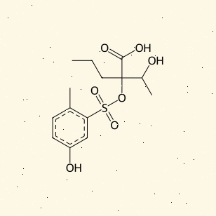 CCCC(OS(=O)(=O)c1cc(O)ccc1C)(C(=O)O)C(C)O